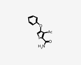 CC(=O)c1c(Oc2ccccc2)csc1C(N)=O